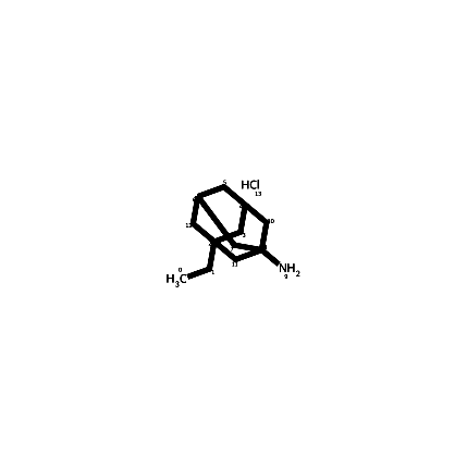 CCC12CC3CC(CC(N)(C3)C1)C2.Cl